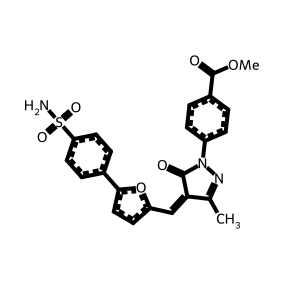 COC(=O)c1ccc(N2N=C(C)/C(=C/c3ccc(-c4ccc(S(N)(=O)=O)cc4)o3)C2=O)cc1